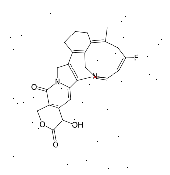 C/C1=C2\CCCC3=C2CCC(=N\C2=C3Cn3c2cc2c(c3=O)COC(=O)C2O)/C=C(/F)C1